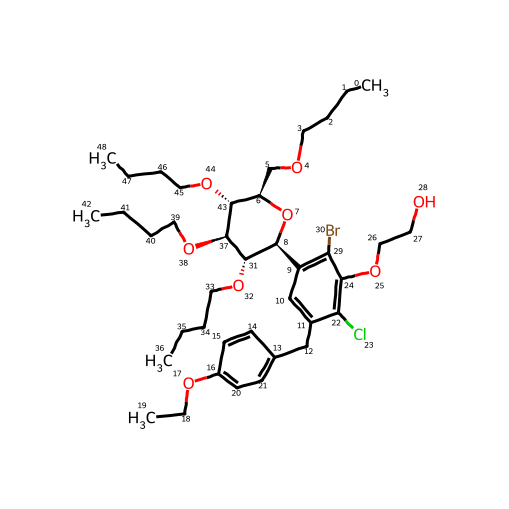 CCCCOC[C@H]1O[C@@H](c2cc(Cc3ccc(OCC)cc3)c(Cl)c(OCCO)c2Br)[C@H](OCCCC)[C@@H](OCCCC)[C@@H]1OCCCC